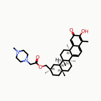 CC1=C(O)C(=O)C=C2C1=CC=C1[C@@]2(C)CC[C@@]2(C)[C@@H]3C[C@](C)(COC(=O)CN4CCN(C)CC4)CC[C@@]3(C)CC[C@]12C